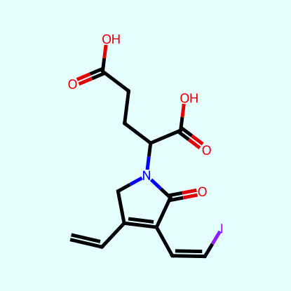 C=CC1=C(/C=C\I)C(=O)N(C(CCC(=O)O)C(=O)O)C1